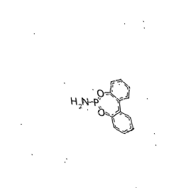 Np1oc2ccccc2c2ccccc2o1